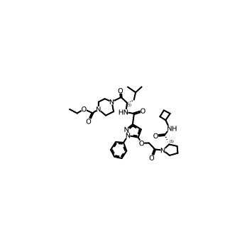 CCOC(=O)N1CCN(C(=O)[C@H](CC(C)C)NC(=O)c2cc(OCC(=O)N3CCC[C@H]3C(=O)NC3CCC3)n(-c3ccccc3)n2)CC1